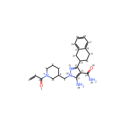 C=CC(=O)N1CCCC(Cn2nc(C3CCc4ccccc4C3)c(C(N)=O)c2N)C1